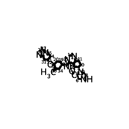 COc1c(N2CCNCC2)ccc2ncnc(Nc3ccc(Oc4ccn5ncnc5c4)c(C)c3)c12